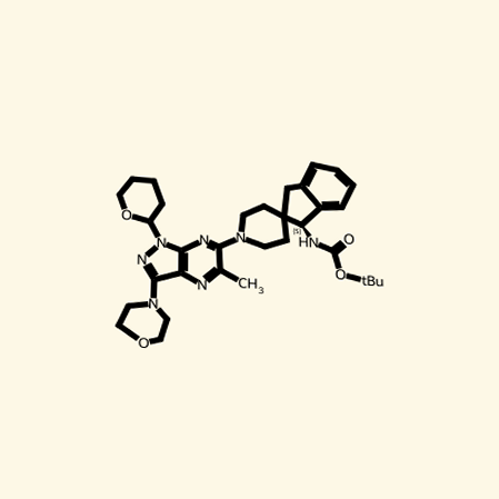 Cc1nc2c(N3CCOCC3)nn(C3CCCCO3)c2nc1N1CCC2(CC1)Cc1ccccc1[C@H]2NC(=O)OC(C)(C)C